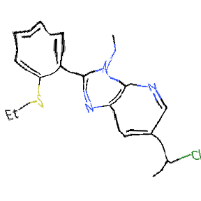 CCSc1ccccc1-c1nc2cc(C(C)Cl)cnc2n1C